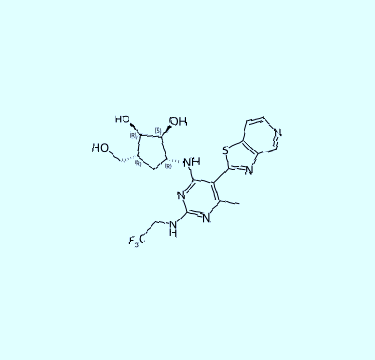 Cc1nc(NCC(F)(F)F)nc(N[C@@H]2C[C@H](CO)[C@@H](O)[C@H]2O)c1-c1nc2cnccc2s1